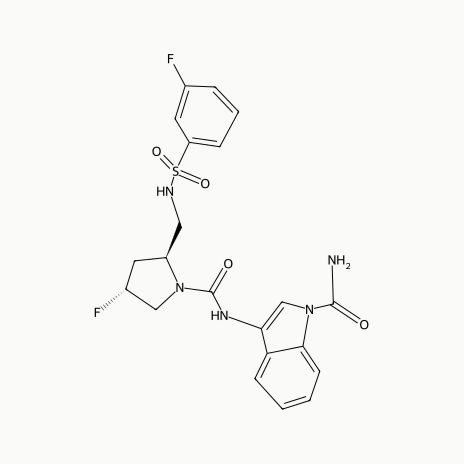 NC(=O)n1cc(NC(=O)N2C[C@H](F)C[C@H]2CNS(=O)(=O)c2cccc(F)c2)c2ccccc21